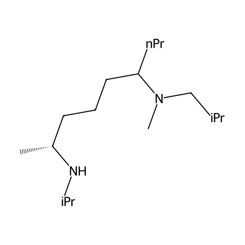 CCCC(CCC[C@@H](C)NC(C)C)N(C)CC(C)C